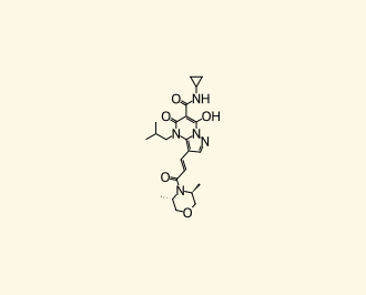 CC(C)Cn1c(=O)c(C(=O)NC2CC2)c(O)n2ncc(/C=C/C(=O)N3[C@@H](C)COC[C@@H]3C)c12